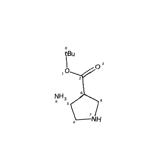 CC(C)(C)OC(=O)C1CCNC1.N